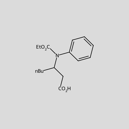 CCCCC(CC(=O)O)N(C(=O)OCC)c1ccccc1